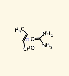 C/C=C/C=O.NC(N)=O